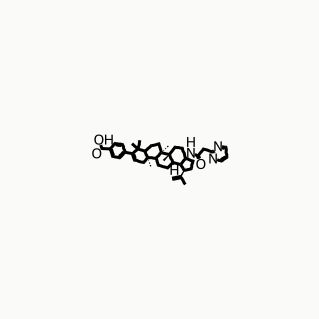 C=C(C)[C@@H]1CC[C@]2(NC(=O)Cc3ncccn3)CC[C@]3(C)[C@H](CCC4[C@@]5(C)CC=C(c6ccc(C(=O)O)cc6)C(C)(C)C5CC[C@]43C)C12